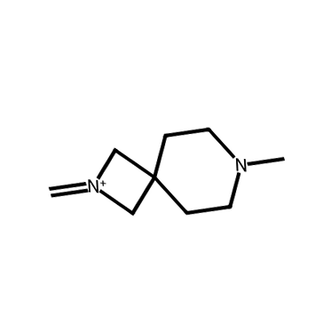 C=[N+]1CC2(CCN(C)CC2)C1